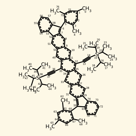 Cc1cc(C)c(C2=c3cc4cc5c(C#C[Si](C(C)C)(C(C)C)C(C)C)c6cc7cc8c(cc7cc6c(C#C[Si](C(C)C)(C(C)C)C(C)C)c5cc4cc3-c3ccccc32)=C(c2c(C)cc(C)cc2C)c2ccccc2-8)c(C)c1